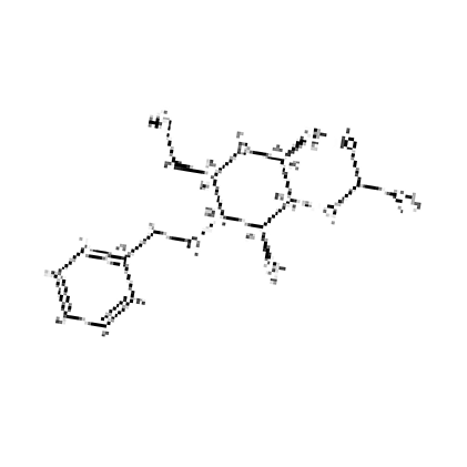 CC(O)O[C@@H]1[C@@H](O)[C@H](OCc2ccccc2)[C@@H](CO)O[C@H]1O